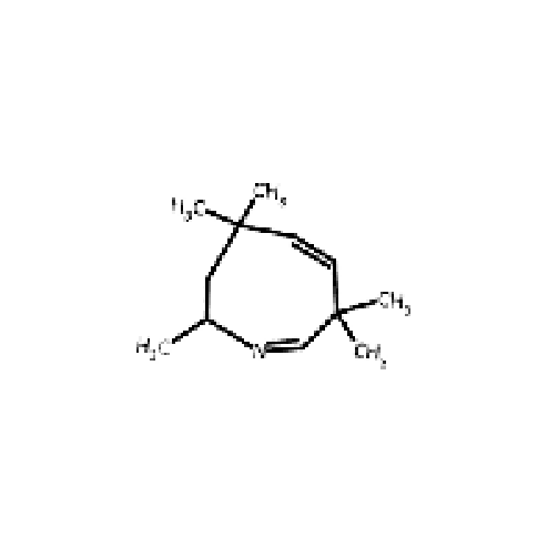 CC1CC(C)(C)/C=C\C(C)(C)/C=N\1